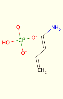 C=CC=CN.[O-][Cl+3]([O-])([O-])O